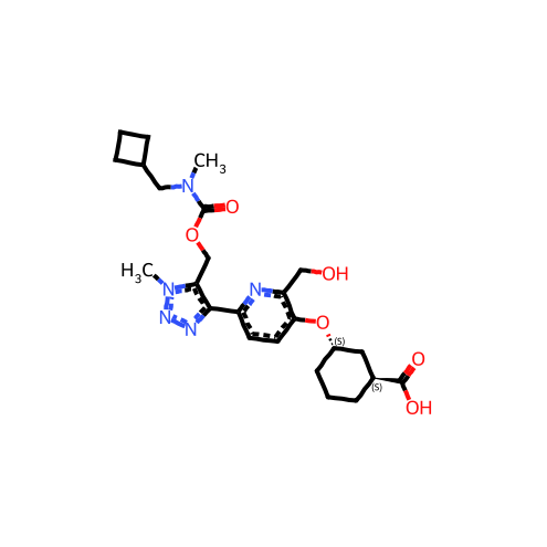 CN(CC1CCC1)C(=O)OCc1c(-c2ccc(O[C@H]3CCC[C@H](C(=O)O)C3)c(CO)n2)nnn1C